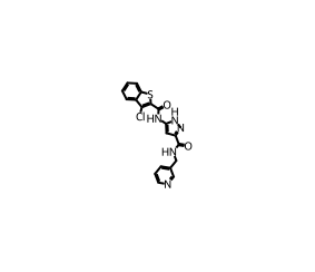 O=C(NCc1cccnc1)c1cc(NC(=O)c2sc3ccccc3c2Cl)[nH]n1